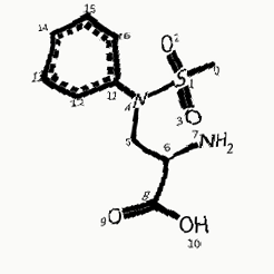 CS(=O)(=O)N(C[C@@H](N)C(=O)O)c1ccccc1